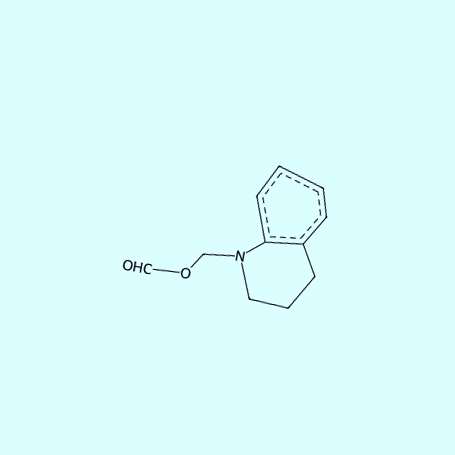 O=COCN1CCCc2ccccc21